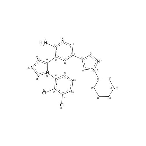 Nc1ncc(-c2cnn(C3CCCNC3)c2)cc1-c1nnnn1-c1cccc(Cl)c1Cl